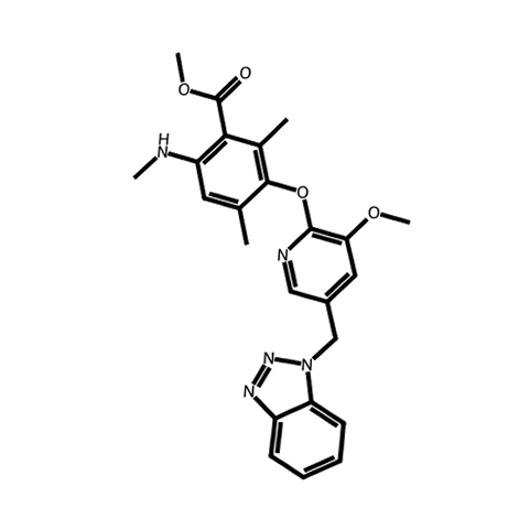 CNc1cc(C)c(Oc2ncc(Cn3nnc4ccccc43)cc2OC)c(C)c1C(=O)OC